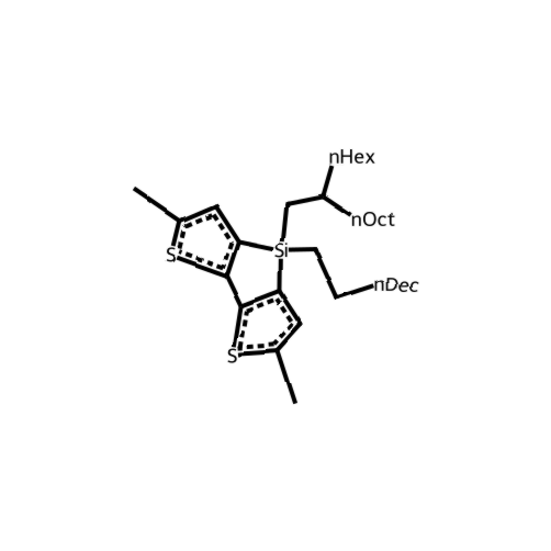 CCCCCCCCCCCC[Si]1(CC(CCCCCC)CCCCCCCC)c2cc(C)sc2-c2sc(C)cc21